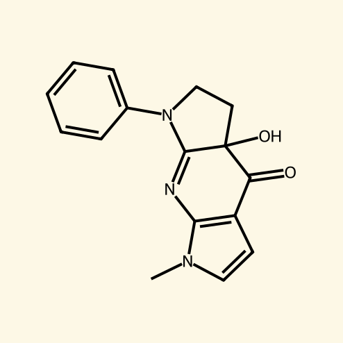 Cn1ccc2c1N=C1N(c3ccccc3)CCC1(O)C2=O